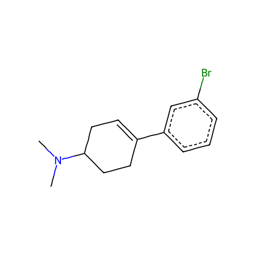 CN(C)C1CC=C(c2cccc(Br)c2)CC1